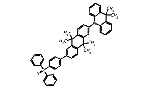 CC1(C)c2ccccc2N(c2ccc3c(c2)C(C)(C)c2ccc(-c4ccc(P(=S)(c5ccccc5)c5ccccc5)cc4)cc2C3(C)C)c2ccccc21